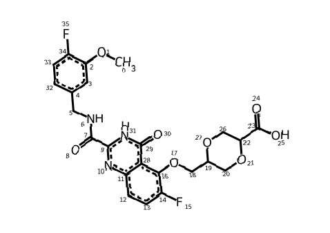 COc1cc(CNC(=O)c2nc3ccc(F)c(OCC4COC(C(=O)O)CO4)c3c(=O)[nH]2)ccc1F